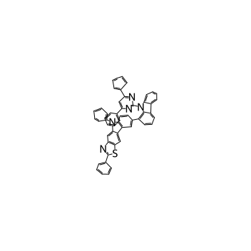 c1ccc(-c2cc(-c3ccccc3)nc(-n3c4ccccc4c4cccc(-c5ccc6c(c5)c5cc7sc(-c8ccccc8)nc7cc5n6-c5ccccc5)c43)n2)cc1